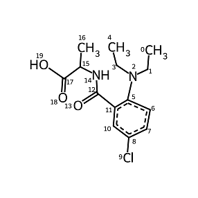 CCN(CC)c1ccc(Cl)cc1C(=O)NC(C)C(=O)O